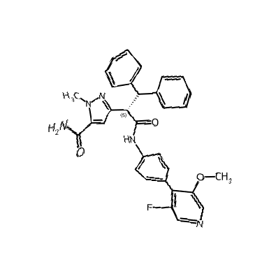 COc1cncc(F)c1-c1ccc(NC(=O)[C@H](c2cc(C(N)=O)n(C)n2)C(c2ccccc2)c2ccccc2)cc1